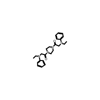 CCN(CC(=O)N1CCN(C(=O)CN(CC)c2ccccc2)CC1)c1ccccc1